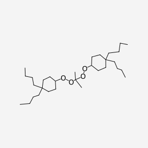 CCCCC1(CCCC)CCC(OOC(C)(C)OOC2CCC(CCCC)(CCCC)CC2)CC1